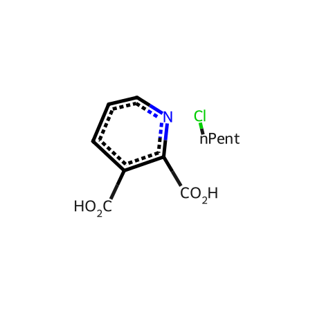 CCCCCCl.O=C(O)c1cccnc1C(=O)O